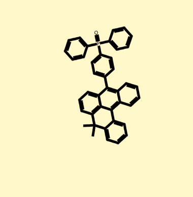 CC1(C)c2ccccc2-c2c3ccccc3c(-c3ccc(P(=O)(c4ccccc4)c4ccccc4)cc3)c3cccc1c23